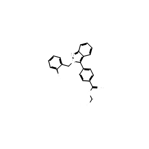 CCOC(=O)c1ccc(-c2c3ccccc3nn2Cc2ccccc2F)cc1